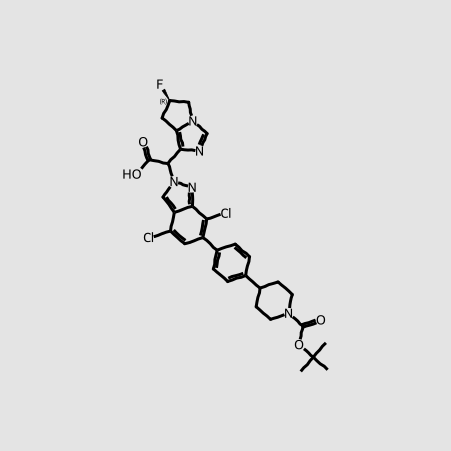 CC(C)(C)OC(=O)N1CCC(c2ccc(-c3cc(Cl)c4cn(C(C(=O)O)c5ncn6c5C[C@@H](F)C6)nc4c3Cl)cc2)CC1